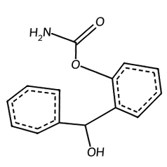 NC(=O)Oc1ccccc1C(O)c1ccccc1